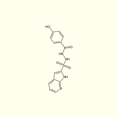 O=C(NNS(=O)(=O)c1cc2cccnc2[nH]1)c1ccc(O)cc1